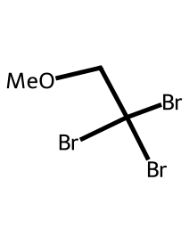 [CH2]OCC(Br)(Br)Br